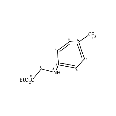 CCOC(=O)CNc1ccc(C(F)(F)F)cc1